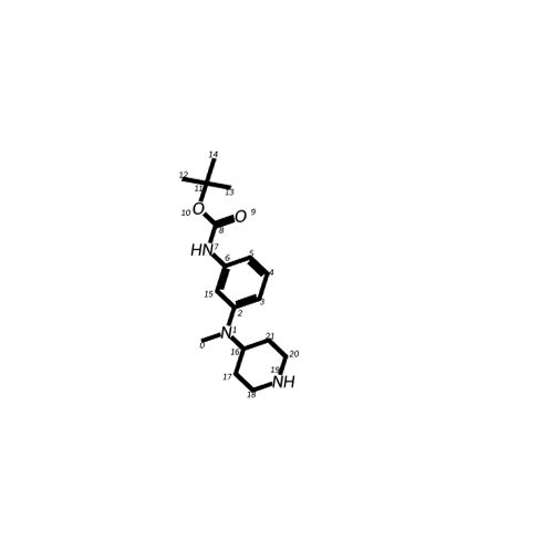 CN(c1cccc(NC(=O)OC(C)(C)C)c1)C1CCNCC1